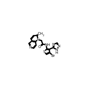 C=C1C=Cc2cnccc2N1CC(=O)Nc1scc(Br)c1-c1ncn[nH]1